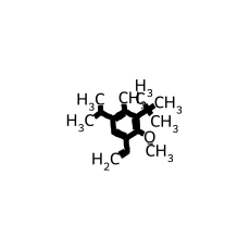 C=Cc1cc(C(C)C)c(C)c(C(C)(C)C)c1OC